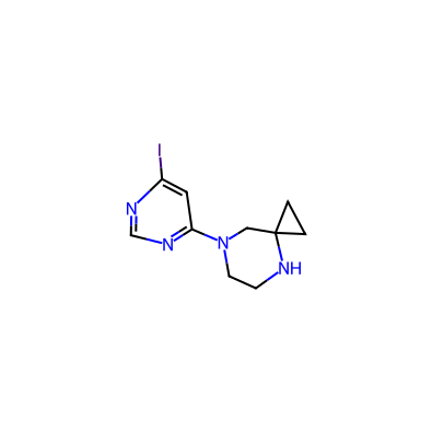 Ic1cc(N2CCNC3(CC3)C2)ncn1